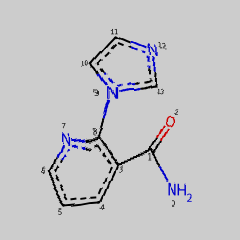 NC(=O)c1cccnc1-n1ccnc1